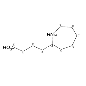 O=S(=O)(O)CCCC1CCCCCN1